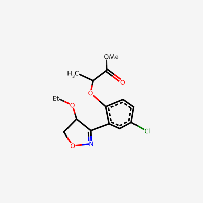 CCOC1CON=C1c1cc(Cl)ccc1OC(C)C(=O)OC